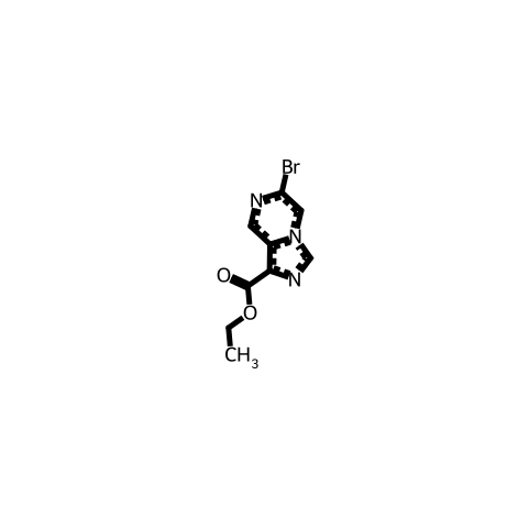 CCOC(=O)c1ncn2cc(Br)ncc12